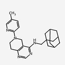 Cc1ccc(N2CCc3ncnc(NCC45CC6CC(CC(C6)C4)C5)c3C2)nc1